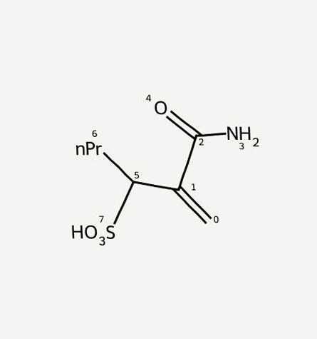 C=C(C(N)=O)C(CCC)S(=O)(=O)O